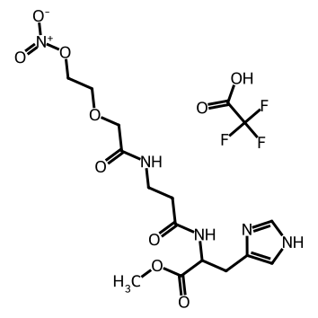 COC(=O)C(Cc1c[nH]cn1)NC(=O)CCNC(=O)COCCO[N+](=O)[O-].O=C(O)C(F)(F)F